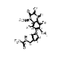 CC(=O)Nn1c(=O)c(=O)n(F)c2c(F)c(C)c(-n3ccc(CNC(=O)C(F)(F)F)c3)c(F)c21